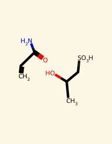 C=CC(N)=O.CC(O)CS(=O)(=O)O